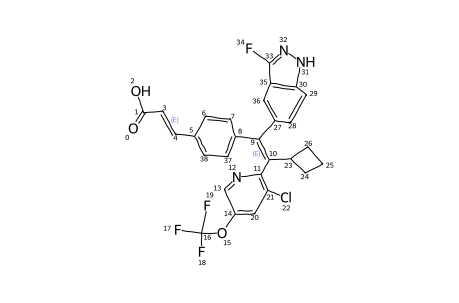 O=C(O)/C=C/c1ccc(/C(=C(\c2ncc(OC(F)(F)F)cc2Cl)C2CCC2)c2ccc3[nH]nc(F)c3c2)cc1